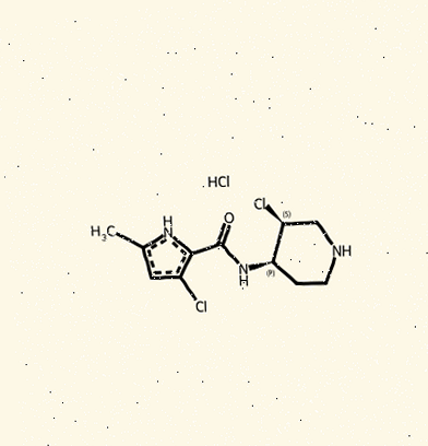 Cc1cc(Cl)c(C(=O)N[C@@H]2CCNC[C@@H]2Cl)[nH]1.Cl